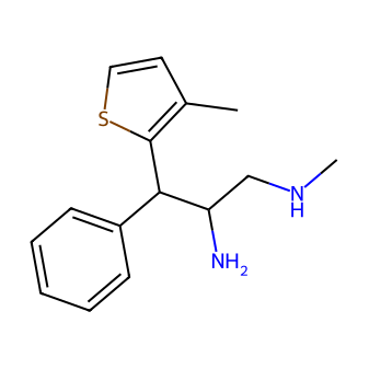 CNCC(N)C(c1ccccc1)c1sccc1C